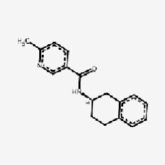 Cc1ccc(C(=O)N[C@@H]2CCc3ccccc3C2)cn1